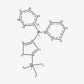 C[Si](C)(C)C1=CC(P(c2ccccc2)c2ccccc2)=CC1